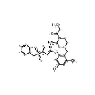 CCC(=O)N1CCN(Cc2c(C)cc(C)cc2C)C[C@H]1NC1CCN(S(=O)(=O)Cc2ccccc2)C1